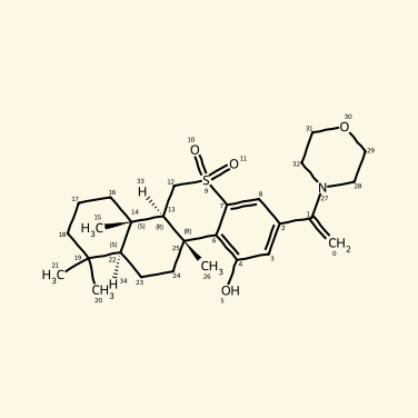 C=C(c1cc(O)c2c(c1)S(=O)(=O)C[C@@H]1[C@@]3(C)CCCC(C)(C)[C@@H]3CC[C@@]21C)N1CCOCC1